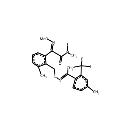 CO/N=C(/C(=O)N(C)I)c1cccc(C)c1CO/N=C(\C)c1ccc(C)cc1C(F)(I)I